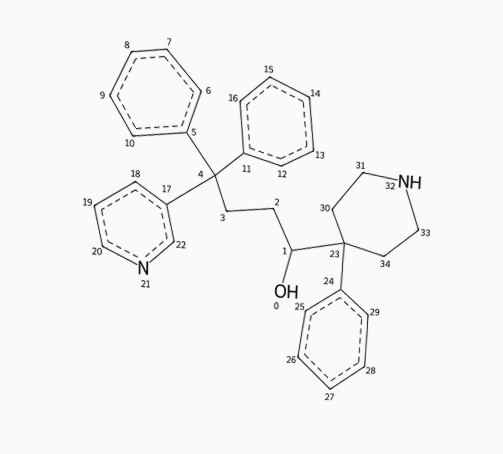 OC(CCC(c1ccccc1)(c1ccccc1)c1cccnc1)C1(c2ccccc2)CCNCC1